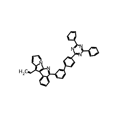 C=Cc1c2c3ccccc3c(-c3cccc(-c4ccc(-c5nc(-c6ccccc6)nc(-c6ccccc6)n5)cc4)c3)nc2n2ccccc12